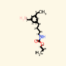 BCc1cc(CC)cc(CCCCNC(=O)OCC=C)c1